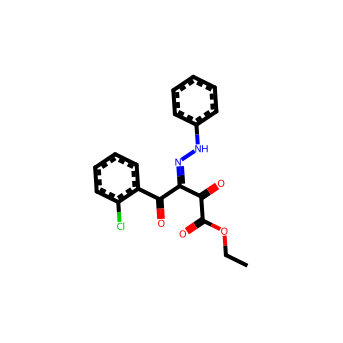 CCOC(=O)C(=O)C(=NNc1ccccc1)C(=O)c1ccccc1Cl